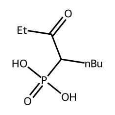 CCCCC(C(=O)CC)P(=O)(O)O